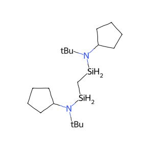 CC(C)(C)N([SiH2]C[SiH2]N(C1CCCC1)C(C)(C)C)C1CCCC1